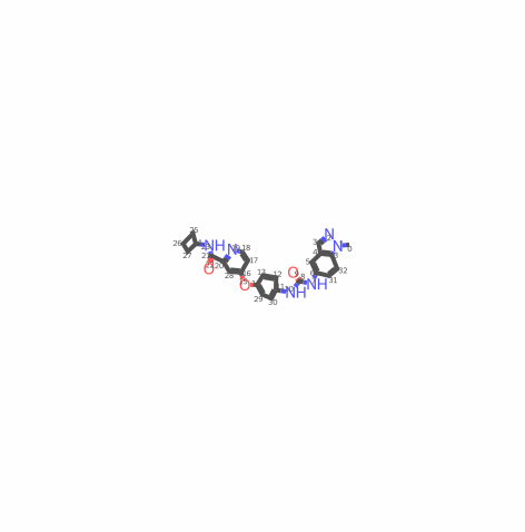 Cn1ncc2cc(NC(=O)Nc3ccc(Oc4ccnc(C(=O)NC5CCC5)c4)cc3)ccc21